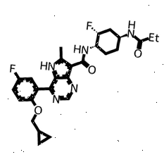 CCC(=O)N[C@H]1CC[C@H](NC(=O)c2c(C)[nH]c3c(-c4cc(F)ccc4OCC4CC4)ncnc23)[C@H](F)C1